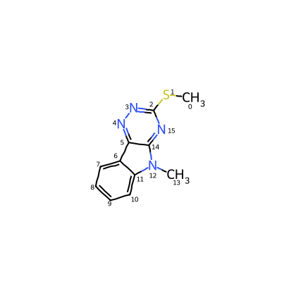 CSc1nnc2c3ccccc3n(C)c2n1